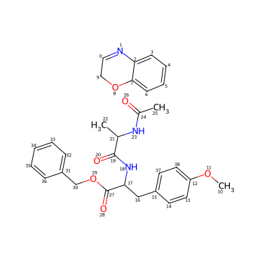 C1=Nc2ccccc2OC1.COc1ccc(CC(NC(=O)C(C)NC(C)=O)C(=O)OCc2ccccc2)cc1